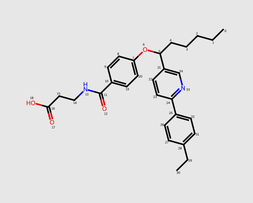 CCCCCC(Oc1ccc(C(=O)NCCC(=O)O)cc1)c1ccc(-c2ccc(CC)cc2)nc1